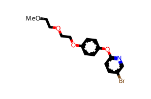 COCCOCCOc1ccc(Oc2ccc(Br)cn2)cc1